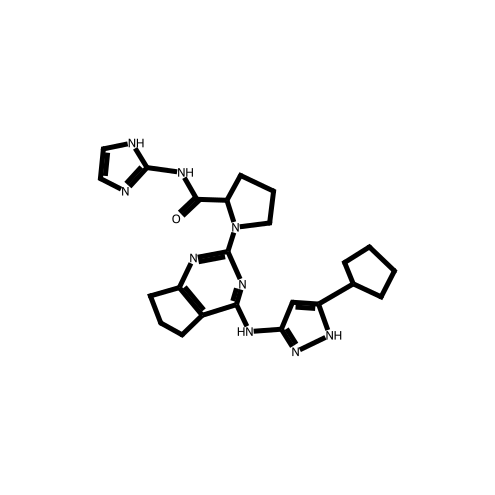 O=C(Nc1ncc[nH]1)C1CCCN1c1nc2c(c(Nc3cc(C4CCCC4)[nH]n3)n1)CCC2